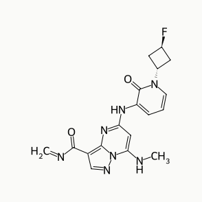 C=NC(=O)c1cnn2c(NC)cc(Nc3cccn([C@H]4C[C@H](F)C4)c3=O)nc12